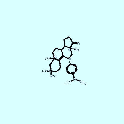 CN(C)c1ccc([C@H]2C[C@@]3(C)C(=O)CCC3C3CC[C@@]4(O)CC(C)(C)CCC4=C32)cc1